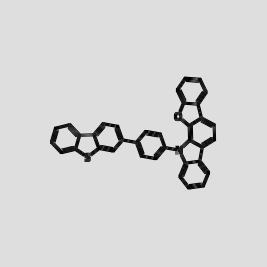 c1ccc2c(c1)oc1c2ccc2c3ccccc3n(-c3ccc(-c4ccc5c(c4)sc4ccccc45)cc3)c21